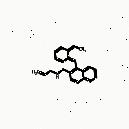 C=CCNCc1ccc2ccccc2c1/C=c1\cccc\c1=C\C